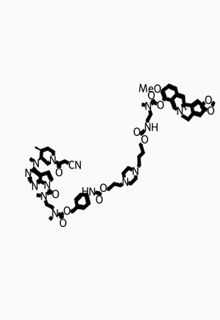 COc1ccc2cc3[n+](cc2c1OC(=O)N(C)CCNC(=O)OCCCCN1CCN(CCCOC(=O)Nc2ccc(COC(=O)N(C)CCN(C)C(=O)n4ccc5c(N(C)[C@@H]6CN(C(=O)CC#N)CC[C@@H]6C)ncnc54)cc2)CC1)CCc1cc2c(cc1-3)OCO2